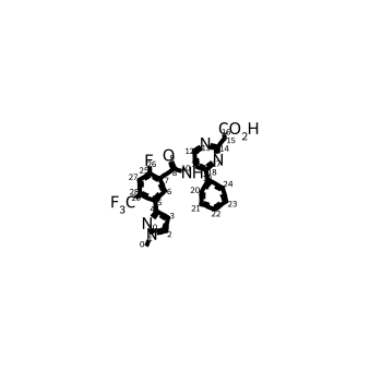 Cn1ccc(-c2cc(C(=O)Nc3cnc(CC(=O)O)nc3-c3ccccc3)c(F)cc2C(F)(F)F)n1